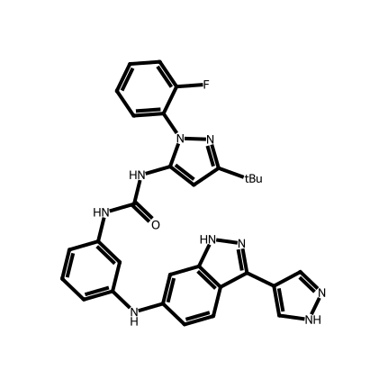 CC(C)(C)c1cc(NC(=O)Nc2cccc(Nc3ccc4c(-c5cn[nH]c5)n[nH]c4c3)c2)n(-c2ccccc2F)n1